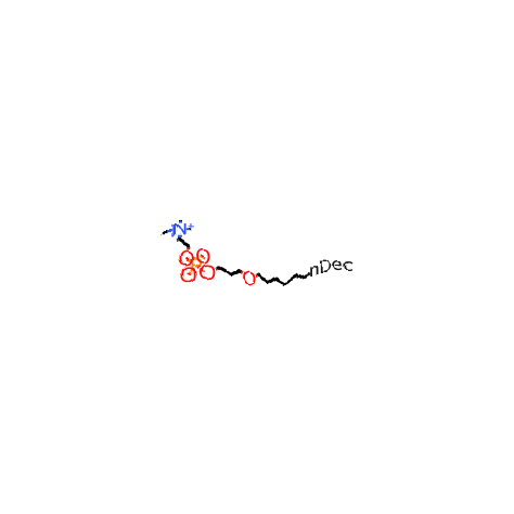 CCCCCCCCCCCCCCCCOCCCOP(=O)([O-])OCC[N+](C)(C)C